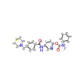 CN(C(=O)Oc1ccc(NC(=O)c2ccc(CN3CCSCC3)cc2)cn1)c1ccccc1